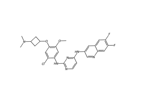 COc1cc(Nc2nccc(Nc3cnc4cc(F)c(F)cc4c3)n2)c(Cl)cc1OC1CC(N(C)C)C1